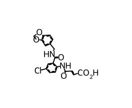 O=C(O)/C=C/C(=O)Nc1ccc(Cl)cc1C(=O)NCc1ccc2c(c1)OCO2